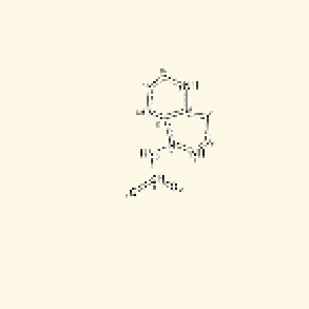 O=[SH](=O)Nn1[nH]ccc2[nH]ccoc1=2